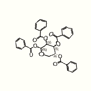 O=C(O[C@@H]1OC[C@@H](OC(=O)c2ccccc2)[C@H](OC(=O)c2ccccc2)[C@@H]1OC(=O)c1ccccc1)c1ccccc1